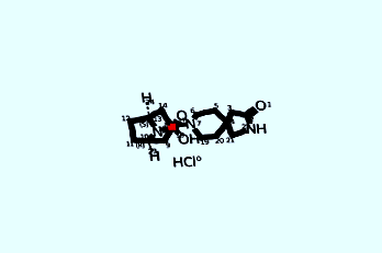 Cl.O=C1CC2(CCN([C@H]3C[C@H]4CC[C@@H](C3)N4C(=O)O)CC2)CN1